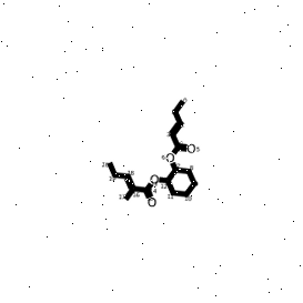 CCC=CC(=O)OC1CCCCC1OC(=O)C(C)=CCC